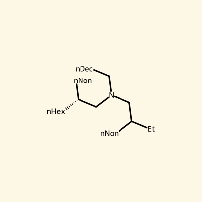 CCCCCCCCCCCN(CC(CC)CCCCCCCCC)C[C@H](CCCCCC)CCCCCCCCC